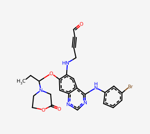 CCC(Oc1cc2ncnc(Nc3cccc(Br)c3)c2cc1NCC#CC=O)N1CCOC(=O)C1